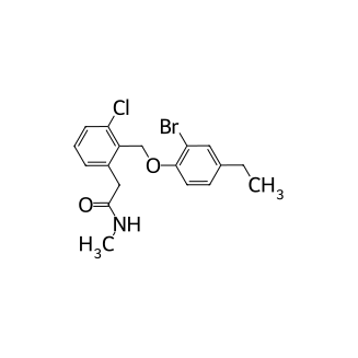 CCc1ccc(OCc2c(Cl)cccc2CC(=O)NC)c(Br)c1